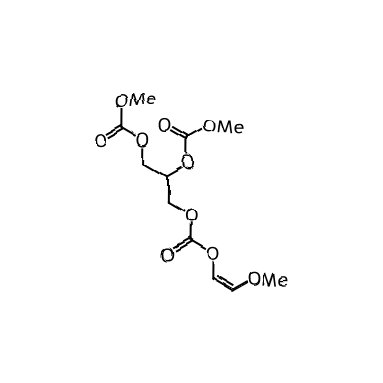 CO/C=C\OC(=O)OCC(COC(=O)OC)OC(=O)OC